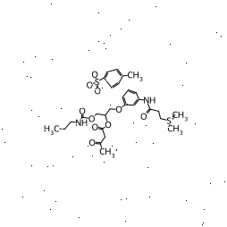 CCCNC(=O)OCC(COc1cccc(NC(=O)CC[S+](C)C)c1)OC(=O)CC(C)=O.Cc1ccc(S(=O)(=O)[O-])cc1